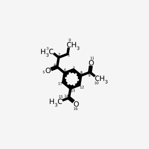 CCC(C)C(=O)c1cc(C(C)=O)cc(C(C)=O)c1